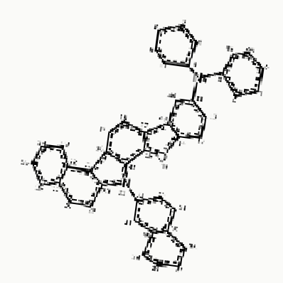 c1ccc(N(c2ccccc2)c2ccc3oc4c(ccc5c6c7ccccc7ccc6n(-c6ccc7ccccc7c6)c54)c3c2)cc1